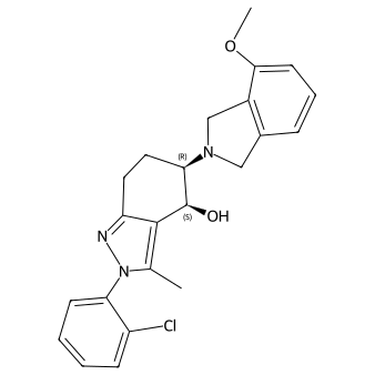 COc1cccc2c1CN([C@@H]1CCc3nn(-c4ccccc4Cl)c(C)c3[C@@H]1O)C2